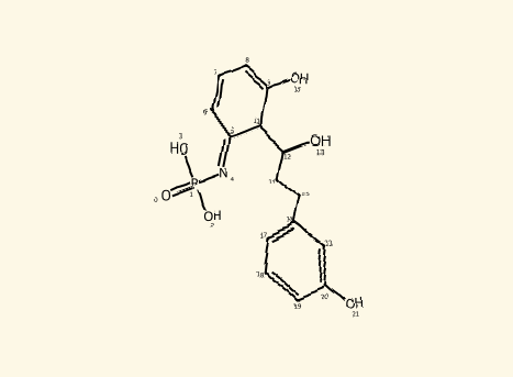 O=P(O)(O)N=C1C=CC=C(O)C1C(O)CCc1cccc(O)c1